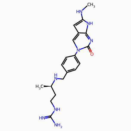 CNc1cc2cn(-c3ccc(CN[C@H](C)CCNC(=N)N)cc3)c(=O)nc2[nH]1